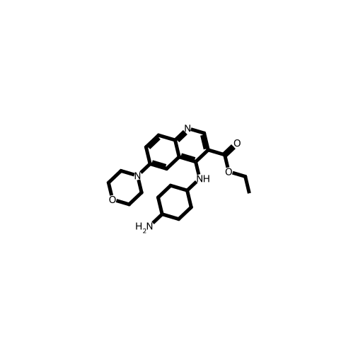 CCOC(=O)c1cnc2ccc(N3CCOCC3)cc2c1NC1CCC(N)CC1